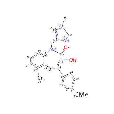 COc1ccc(C2=C(O)C(=O)N(CC3=NC(C)CN3)c3cccc(C(F)(F)F)c3C2)cc1